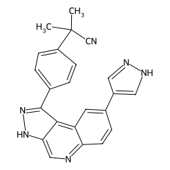 CC(C)(C#N)c1ccc(-c2n[nH]c3cnc4ccc(-c5cn[nH]c5)cc4c23)cc1